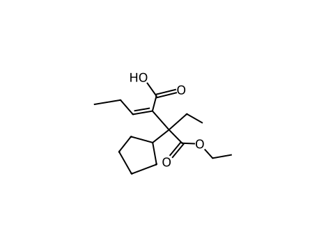 CCC=C(C(=O)O)C(CC)(C(=O)OCC)C1CCCC1